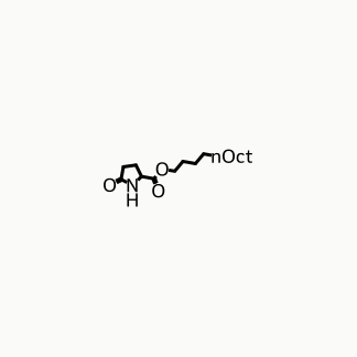 CCCCCCCCCCCCOC(=O)C1CCC(=O)N1